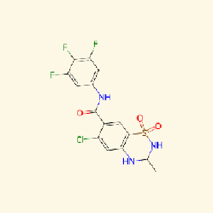 CC1Nc2cc(Cl)c(C(=O)Nc3cc(F)c(F)c(F)c3)cc2S(=O)(=O)N1